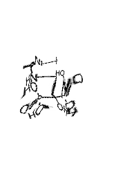 CC(=N)NCC(O)(P(=O)(O)O)P(=O)(O)O